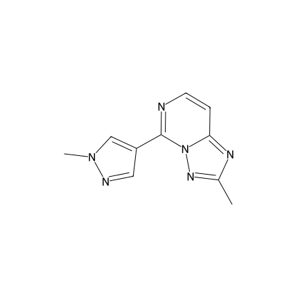 Cc1nc2ccnc(-c3cnn(C)c3)n2n1